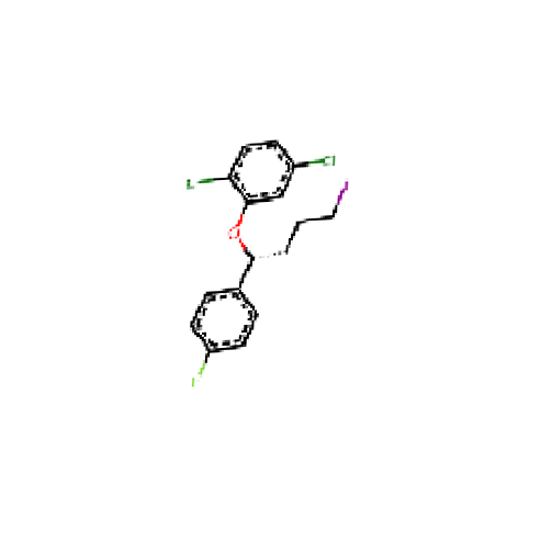 Fc1ccc([C@@H](CCCI)Oc2cc(Cl)ccc2Cl)cc1